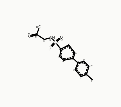 Cc1ccc(-c2ccc(S(=O)(=O)NCC(=O)Cl)cc2)cc1